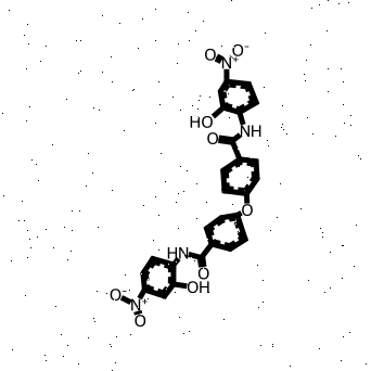 O=C(Nc1ccc([N+](=O)[O-])cc1O)c1ccc(Oc2ccc(C(=O)Nc3ccc([N+](=O)[O-])cc3O)cc2)cc1